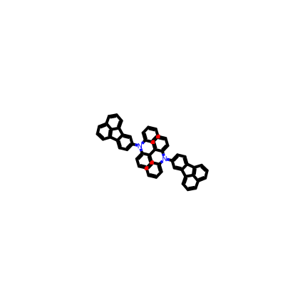 c1ccc(N(c2ccc3c(c2)-c2cccc4cccc-3c24)c2ccccc2-c2ccccc2N(c2ccccc2)c2ccc3c(c2)-c2cccc4cccc-3c24)cc1